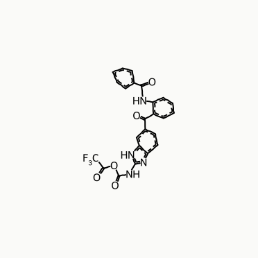 O=C(Nc1nc2ccc(C(=O)c3ccccc3NC(=O)c3ccccc3)cc2[nH]1)OC(=O)C(F)(F)F